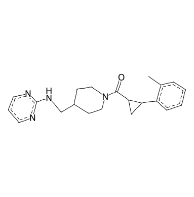 Cc1ccccc1C1CC1C(=O)N1CCC(CNc2ncccn2)CC1